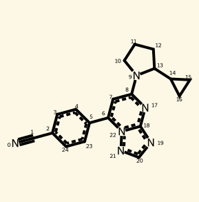 N#Cc1ccc(-c2cc(N3CCCC3C3CC3)nc3ncnn23)cc1